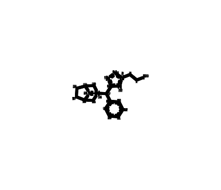 FCCn1nnc(C(c2ccccc2)N2CC3CCC(C2)N3)n1